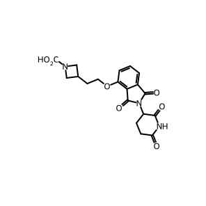 O=C1CCC(N2C(=O)c3cccc(OCCC4CN(C(=O)O)C4)c3C2=O)C(=O)N1